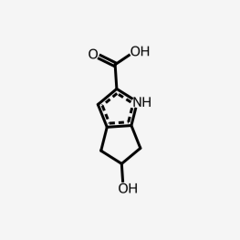 O=C(O)c1cc2c([nH]1)CC(O)C2